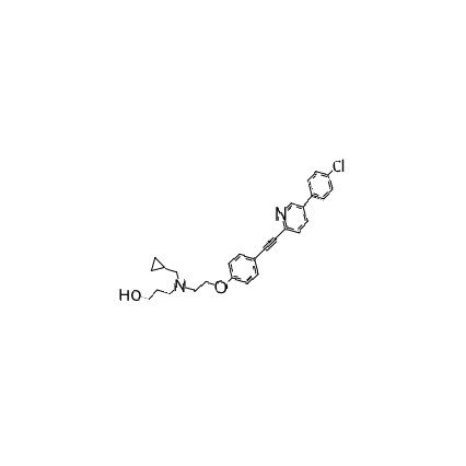 OCCCN(CCOc1ccc(C#Cc2ccc(-c3ccc(Cl)cc3)cn2)cc1)CC1CC1